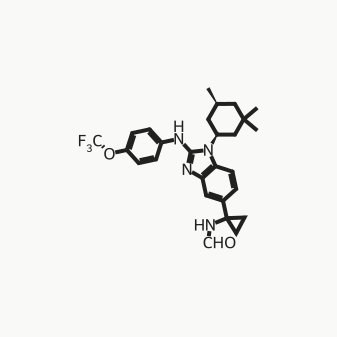 C[C@@H]1C[C@H](n2c(Nc3ccc(OC(F)(F)F)cc3)nc3cc(C4(NC=O)CC4)ccc32)CC(C)(C)C1